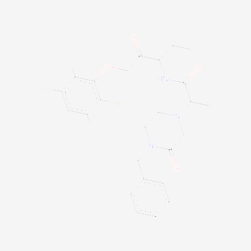 CC(C(=O)NC(CC(=O)O)C(=O)COc1c(F)c(F)cc(F)c1F)N1CCN(Cc2ccccc2)C(=O)C1